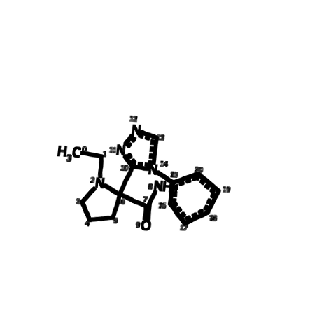 CCN1CCCC1(C(N)=O)c1nncn1-c1ccccc1